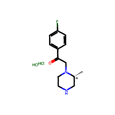 C[C@@H]1CNCCN1CC(=O)c1ccc(F)cc1.Cl.Cl